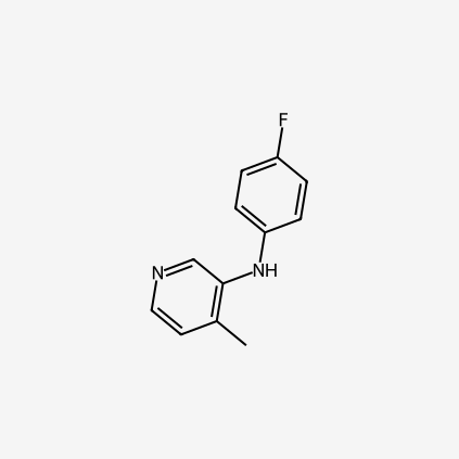 Cc1ccncc1Nc1ccc(F)cc1